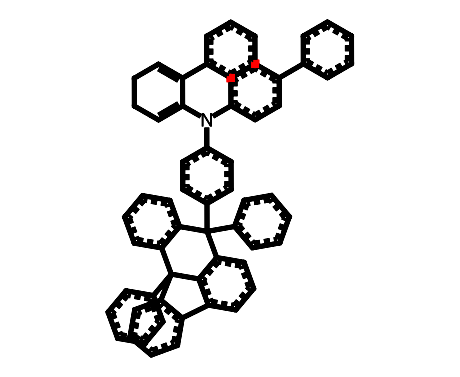 C1=C(c2ccccc2)C(N(c2ccc(-c3ccccc3)cc2)c2ccc(C3(c4ccccc4)c4ccccc4C4(c5ccccc5)c5ccccc5-c5cccc3c54)cc2)=CCC1